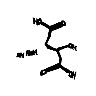 O=C(O)CC(O)C(=O)O.[KH].[NaH]